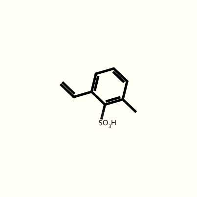 C=Cc1cccc(C)c1S(=O)(=O)O